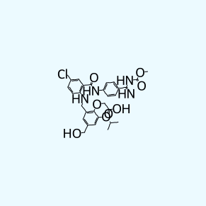 COC(=O)NC(=N)c1ccc(NC(=O)c2cc(Cl)ccc2NCc2cc(CO)cc(OC(C)C)c2OCC(=O)O)cc1